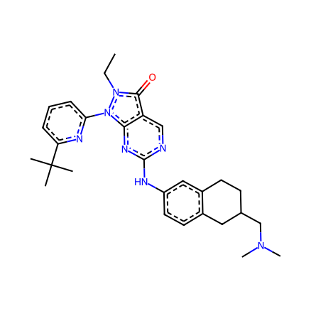 CCn1c(=O)c2cnc(Nc3ccc4c(c3)CCC(CN(C)C)C4)nc2n1-c1cccc(C(C)(C)C)n1